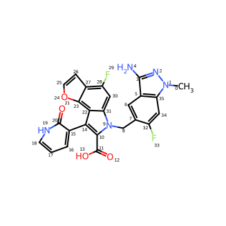 Cn1nc(N)c2cc(Cn3c(C(=O)O)c(-c4ccc[nH]c4=O)c4c5occc5c(F)cc43)c(F)cc21